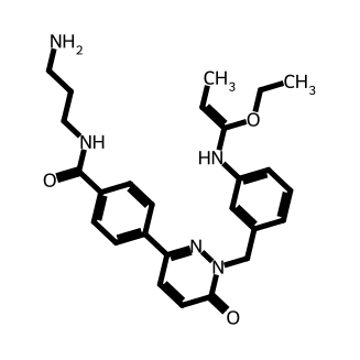 CC=C(Nc1cccc(Cn2nc(-c3ccc(C(=O)NCCCN)cc3)ccc2=O)c1)OCC